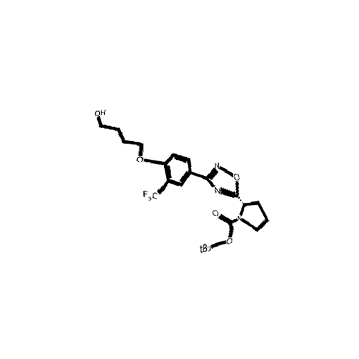 CC(C)(C)OC(=O)N1CCC[C@H]1c1nc(-c2ccc(OCCCCO)c(C(F)(F)F)c2)no1